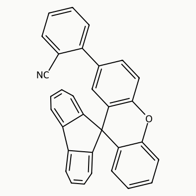 N#Cc1ccccc1-c1ccc2c(c1)C1(c3ccccc3O2)c2ccccc2-c2ccccc21